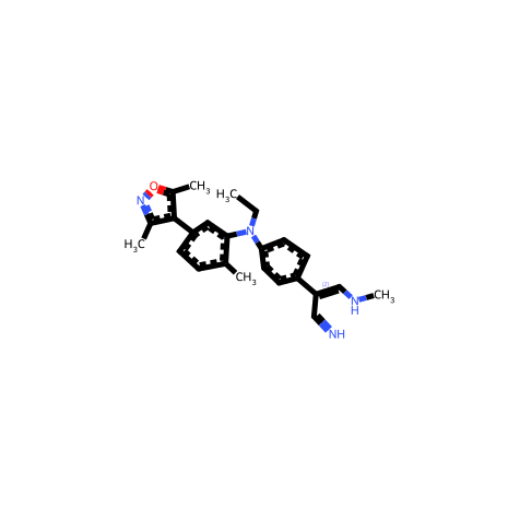 CCN(c1ccc(/C(C=N)=C/NC)cc1)c1cc(-c2c(C)noc2C)ccc1C